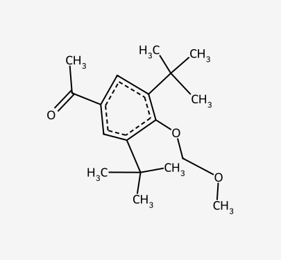 COCOc1c(C(C)(C)C)cc(C(C)=O)cc1C(C)(C)C